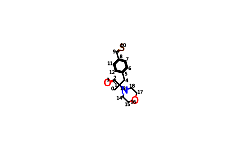 CC([C]=O)(Cc1ccc(C=S)cc1)N1CCOCC1